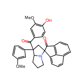 COc1cccc(C2(C(=O)c3ccc(O)c(OC)c3)CC3(C(=O)c4cccc5cccc3c45)N3CCCC32)c1